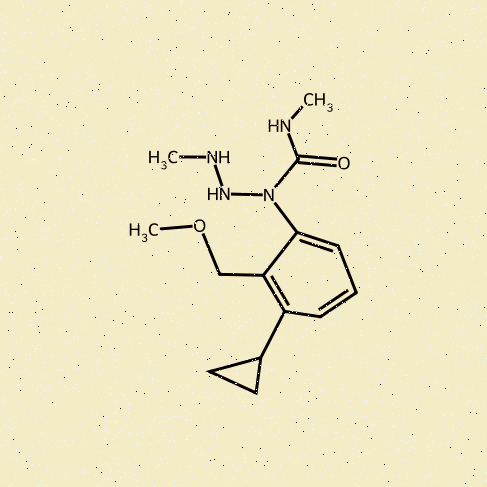 CNNN(C(=O)NC)c1cccc(C2CC2)c1COC